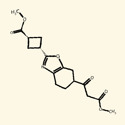 COC(=O)CC(=O)C1CCc2nc([C@H]3C[C@H](C(=O)OC)C3)oc2C1